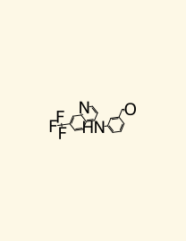 O=Cc1cccc(Nc2ccnc3cc(C(F)(F)F)ccc23)c1